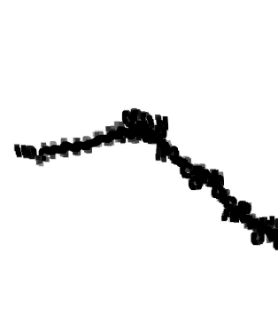 O=C(O)CCCCCCCCCCCCCCCCC(=O)NC(CCC(=O)NCCOCCOCC(=O)NCCOCCOCC(=O)NCCNC(=O)CCN1C(=O)C=CC1=O)C(=O)O